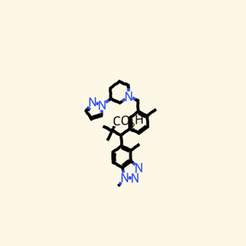 Cc1ccc(C(c2ccc3c(nnn3C)c2C)C(C)(C)C(=O)O)cc1CN1CCCC(n2cccn2)C1